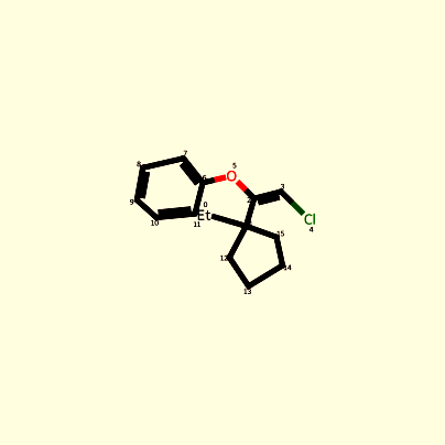 CCC1(C(=CCl)Oc2ccccc2)CCCC1